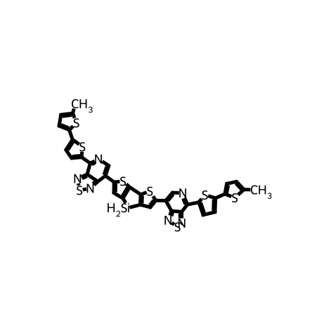 Cc1ccc(-c2ccc(-c3ncc(-c4cc5c(s4)-c4sc(-c6cnc(-c7ccc(-c8ccc(C)s8)s7)c7nsnc67)cc4[SiH2]5)c4nsnc34)s2)s1